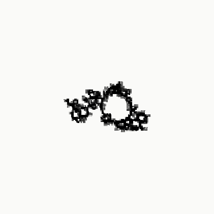 C=CC(=O)N1CCO[C@@H]2CCN(C(=O)N(C)[C@H](C(=O)N[C@H]3Cc4nc(cs4)-c4ccc5c(c4)c(c(-c4cccnc4[C@H](C)OC)n5CC)CC(C)(C)COC(=O)[C@@H]4CCCN(NC4CI)C3=O)C(C)C)C[Si@@H]21